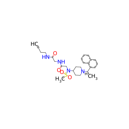 C#CCCNC(=O)CNC(=O)CN(C1CCN([C@H](C)c2cccc3ccccc23)CC1)S(C)(=O)=O